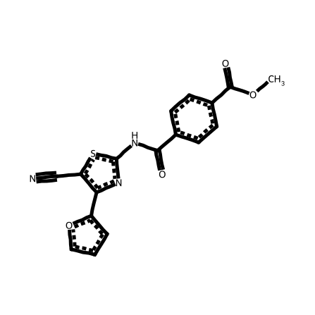 COC(=O)c1ccc(C(=O)Nc2nc(-c3ccco3)c(C#N)s2)cc1